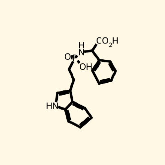 O=C(O)C(NP(=O)(O)CCc1c[nH]c2ccccc12)c1ccccc1